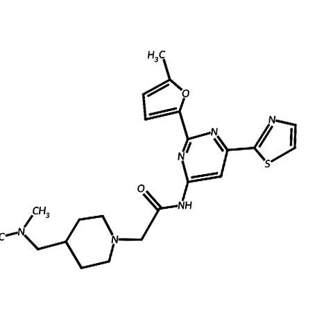 Cc1ccc(-c2nc(NC(=O)CN3CCC(CN(C)C)CC3)cc(-c3nccs3)n2)o1